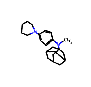 CN(c1ccc(N2CCCCC2)cc1)C12CC3CC(CC(C3)C1)C2